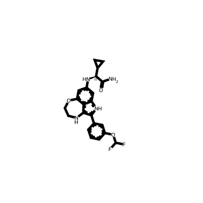 NC(=O)[C@@H](Nc1cc2c3c(c(-c4cccc(OC(F)F)c4)[nH]c3c1)NCCO2)C1CC1